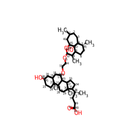 CC1CCC2[C@H](C)CCC3[C@@H](C)C(OCCO[C@@H]4CC5C[C@H](O)CCC5(C)C5CC[C@@]6(C)C(CCC6[C@H](C)CCC(=O)O)C54)OC(C1)C32O